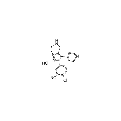 Cl.N#Cc1cc(-c2nn3c(c2-c2ccncc2)CNCC3)ccc1Cl